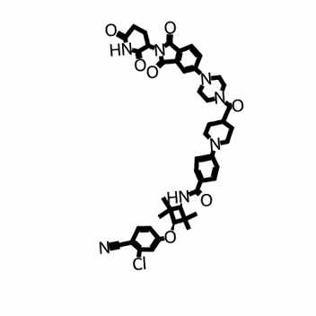 CC1(C)[C@H](NC(=O)c2ccc(N3CCC(C(=O)N4CCN(c5ccc6c(c5)C(=O)N(C5CCC(=O)NC5=O)C6=O)CC4)CC3)cc2)C(C)(C)[C@H]1Oc1ccc(C#N)c(Cl)c1